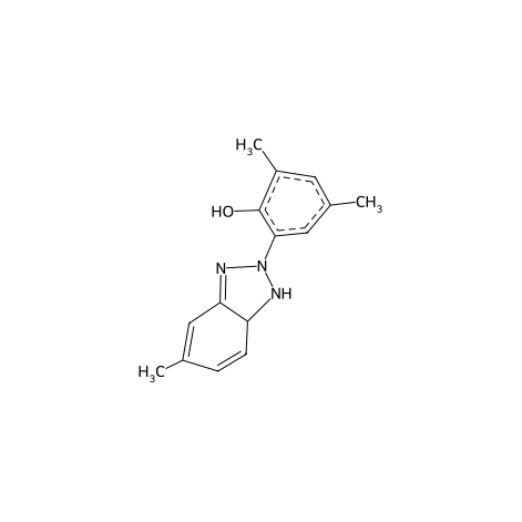 CC1=CC2=NN(c3cc(C)cc(C)c3O)NC2C=C1